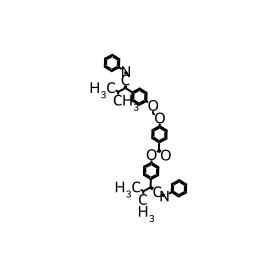 CC(C)C(=C=Nc1ccccc1)c1ccc(OCOc2ccc(C(=O)Oc3ccc(C(=C=Nc4ccccc4)C(C)C)cc3)cc2)cc1